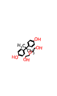 CC(C)(c1ccc(O)cc1)c1ccc(O)cc1.OCCOCCO